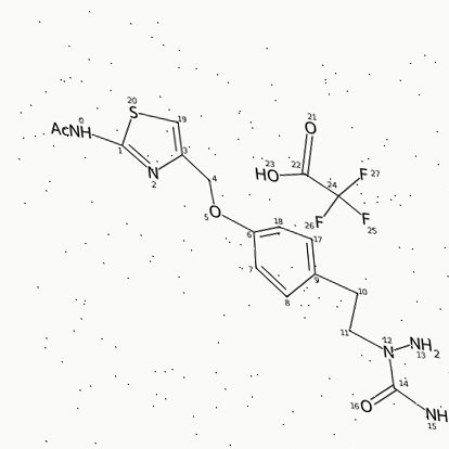 CC(=O)Nc1nc(COc2ccc(CCN(N)C(N)=O)cc2)cs1.O=C(O)C(F)(F)F